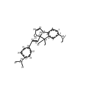 COc1ccc2c(c1)C(C)(C)C1(C=Cc3ccc(N(C)C)cc3)OC=CN21